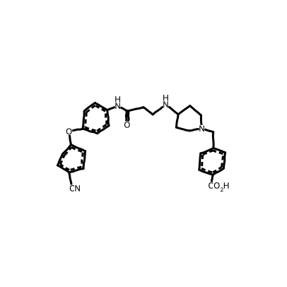 N#Cc1ccc(Oc2ccc(NC(=O)CCNC3CCN(Cc4ccc(C(=O)O)cc4)CC3)cc2)cc1